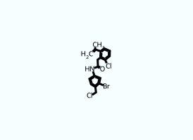 C=C(C)c1cccc(Cl)c1CC(=O)Nc1ccc(CCl)c(Br)c1